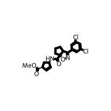 COC(=O)[C@@H]1C=C[C@H](NC(=O)C23CCCC2C(c2cc(Cl)cc(Cl)c2)=NO3)C1